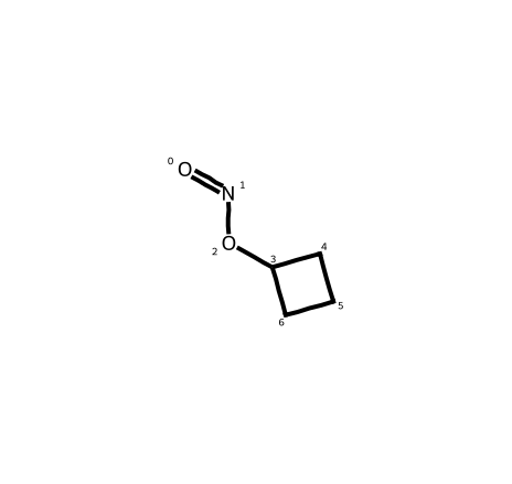 O=NOC1CCC1